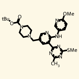 COc1ccc(Nc2ncc(CN3CCN(C(=O)OC(C)(C)C)CC3)cc2-c2nc(C)nc(SC)n2)cn1